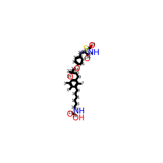 Cc1c(C)c2c(c(C)c1CCCCCCNC(=O)O)CCC(C)(COc1ccc(/C=C3/SC(=O)NC3=O)cc1)O2